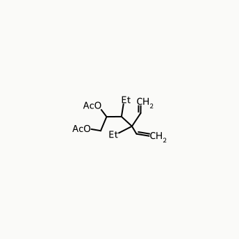 C=CC(C=C)(CC)C(CC)C(COC(C)=O)OC(C)=O